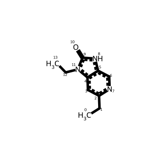 CCc1cc2c(cn1)[nH]c(=O)n2CC